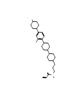 C=CC(=O)N(C)CCCC1CCC(C2CCC(c3ccc(C4CCC(CCCCC)CC4)cc3C)CC2)CC1